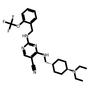 CCN(CC)[C@H]1CC[C@H](CNc2nc(NCc3ccccc3OC(F)(F)F)ncc2C#N)CC1